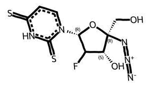 [N-]=[N+]=N[C@]1(CO)O[C@@H](n2ccc(=S)[nH]c2=S)C(F)[C@H]1O